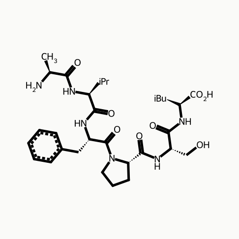 CC[C@H](C)[C@H](NC(=O)[C@H](CO)NC(=O)[C@@H]1CCCN1C(=O)[C@H](Cc1ccccc1)NC(=O)[C@@H](NC(=O)[C@H](C)N)C(C)C)C(=O)O